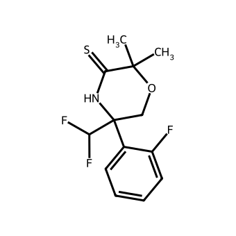 CC1(C)OCC(c2ccccc2F)(C(F)F)NC1=S